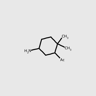 CC(=O)C1CC(N)CCC1(C)C